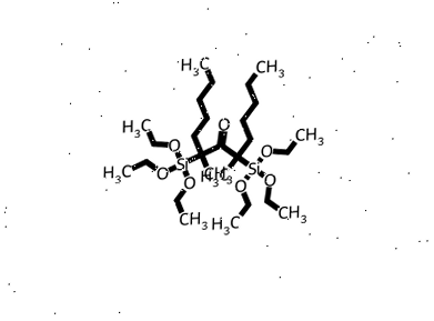 CCCCCC(C)(C(=O)C(C)(CCCCC)[Si](OCC)(OCC)OCC)[Si](OCC)(OCC)OCC